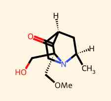 COC[C@]1(CO)C(=O)[C@H]2CCN1[C@H](C)C2